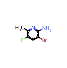 Cc1nc(N)c(Br)cc1F